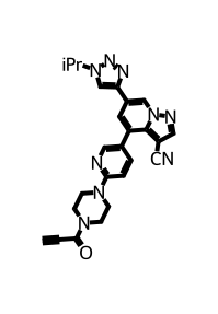 C#CC(=O)N1CCN(c2ccc(-c3cc(-c4cn(C(C)C)nn4)cn4ncc(C#N)c34)cn2)CC1